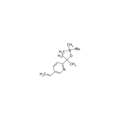 C=Cc1ccc(C(C)(C)O[Si](C)(C)C(C)(C)C)nc1